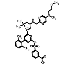 COCCN(C)c1cnc(CN[C@@H](COc2cc(-c3c(C)cccc3C)nc(NS(=O)(=O)c3cccc(C(=O)O)c3)n2)CC(C)(C)C)nc1